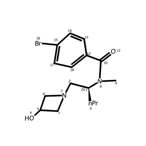 CCC[C@@H](CN1CC(O)C1)N(C)C(=O)c1ccc(Br)cc1